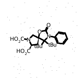 CC(C)(C)C1(C(C)(C)C)N(c2ccccc2)C(=O)O[C@]12C[C@@H](C(=O)O)N(C(=O)O)C2